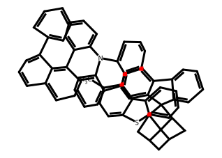 CC1CC=c2sc3ccccc3c2=C1c1ccccc1N(c1ccccc1C1=c2c(-c3ccccc3)cccc2=CCC1)c1ccccc1-c1ccc2c(c1)C1(c3ccccc3-2)C2CC3CC4CC1C342